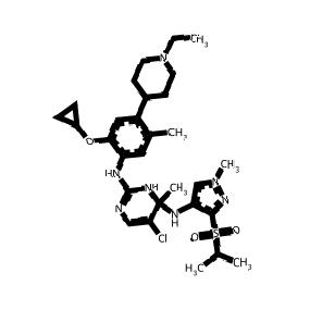 CCN1CCC(c2cc(OC3CC3)c(NC3=NC=C(Cl)C(C)(Nc4cn(C)nc4S(=O)(=O)C(C)C)N3)cc2C)CC1